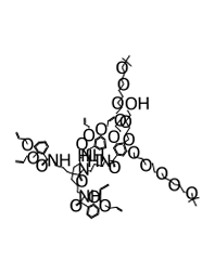 C=CCOc1cccc(C(=O)NCCCC(CCCNC(=O)c2cccc(OCC=C)c2OCC=C)(CCCNC(=O)c2cccc(OCC=C)c2OCC=C)C(=O)NCCCNC(=O)c2cc(OCCOCCOCCOCCOC(C)(C)C)c(OCCOCCO)c(OCCOCCOCCOCCOC(C)(C)C)c2)c1OCC=C